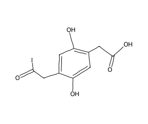 O=C(O)Cc1cc(O)c(CC(=O)I)cc1O